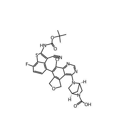 CC(C)(C)OC(=O)Nc1sc2c(F)ccc(-c3c4c(c5c(N6C[C@H]7C[C@@H]6CN7C(=O)O)ncnc5c3Cl)COC4)c2c1C#N